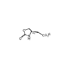 O=C(O)C[C@@H]1COC(=O)N1